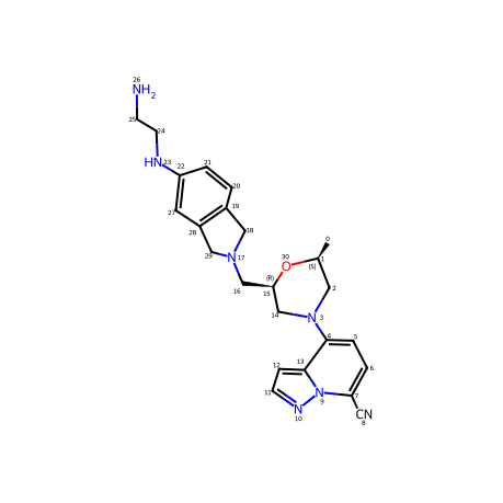 C[C@H]1CN(c2ccc(C#N)n3nccc23)C[C@@H](CN2Cc3ccc(NCCN)cc3C2)O1